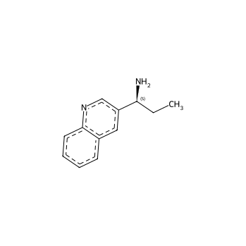 CC[C@H](N)c1cnc2ccccc2c1